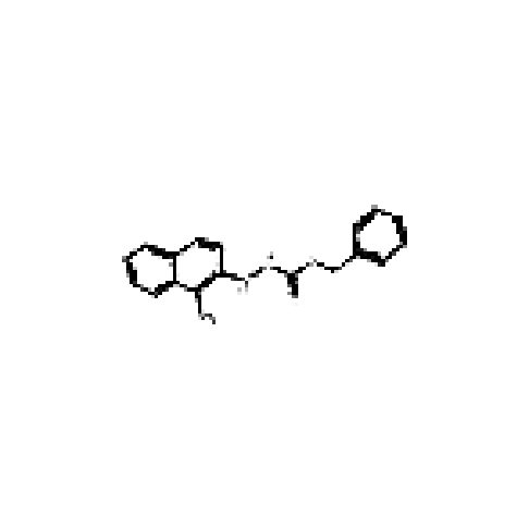 Nc1c(NNC(=O)OCc2ccccc2)ccc2ccccc12